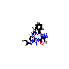 CCC(C)CN1CCN2Cc3nc(c4ccccc4n3)N[C@@H](C(C)C)C(=O)NC2C1